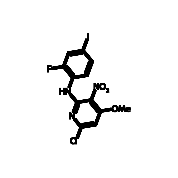 COc1cc(Cl)nc(Nc2ccc(I)cc2F)c1[N+](=O)[O-]